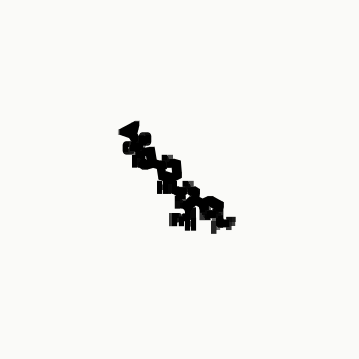 CC(C)Nc1nc(Nc2ccnc(-c3cnn(S(=O)(=O)C4CC4)c3)c2)ncc1-c1ccn(C(F)F)n1